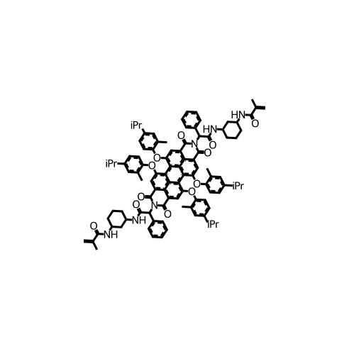 C=C(C)C(=O)NC1CCCC(NC(=O)C(c2ccccc2)N2C(=O)c3cc(Oc4ccc(C(C)C)cc4C)c4c5c(Oc6ccc(C(C)C)cc6C)cc6c7c(cc(Oc8ccc(C(C)C)cc8C)c(c8c(Oc9ccc(C(C)C)cc9C)cc(c3c48)C2=O)c75)C(=O)N(C(C(=O)NC2CCCC(NC(=O)C(=C)C)C2)c2ccccc2)C6=O)C1